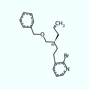 C=CC[C@@H](CCc1cccnc1Br)COCc1ccccc1